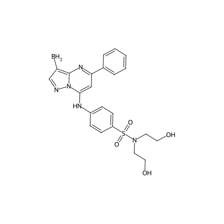 Bc1cnn2c(Nc3ccc(S(=O)(=O)N(CCO)CCO)cc3)cc(-c3ccccc3)nc12